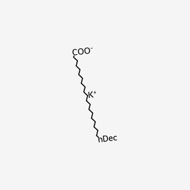 CCCCCCCCCCCCCCCCCCCCCCCCCCCCCC(=O)[O-].[K+]